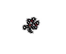 CC(C)(C)c1ccc2oc3c(c2c1)N(c1ccc2c(c1)C(C)(C)CCC2(C)C)c1cc(N(c2ccc4c(c2)C(C)(C)CCC4(C)C)c2ccc4c(c2)C(C)(C)CCC4(C)C)cc2c1B3c1cc3c(cc1N2c1ccc2c(c1)C(C)(C)CCC2(C)C)C(C)(C)CCC3(C)C